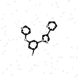 Fc1cc(Oc2cccnc2)cc(-n2cc(-c3ccccn3)cn2)c1